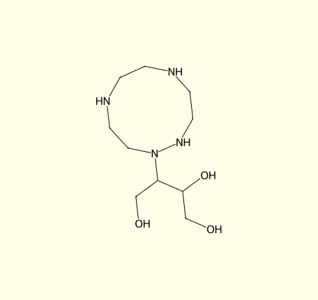 OCC(O)C(CO)N1CCNCCNCCN1